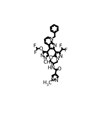 Cn1cc(C(=O)NC2COc3c(-c4nc5n(Cc6ccccc6)cccc-5c4-c4cn(C)nc4OC(F)F)c(C(F)F)nn3C2)cn1